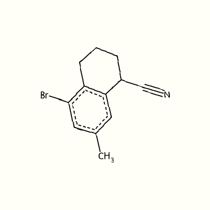 Cc1cc(Br)c2c(c1)C(C#N)CCC2